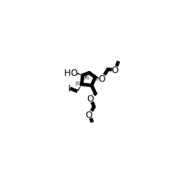 COCOCC1[C@@H](OCOC)C[C@@H](O)[C@H]1CI